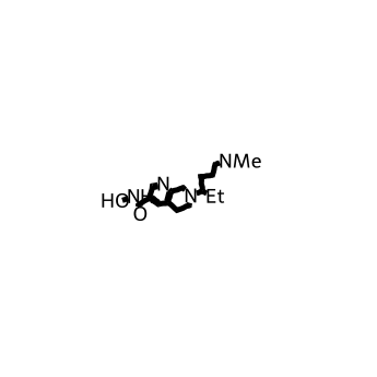 CCC(CCCNC)N1CCc2cc(C(=O)NO)cnc2C1